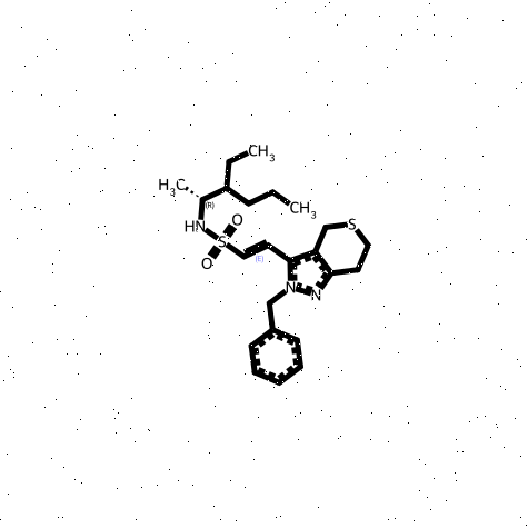 CCCC(CC)[C@@H](C)NS(=O)(=O)/C=C/c1c2c(nn1Cc1ccccc1)CCSC2